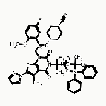 COc1ccc(F)cc1[C@H](Cn1c(=O)n(C(C)(C)C(=O)O[Si](c2ccccc2)(c2ccccc2)C(C)(C)C)c(=O)c2c(C)c(-n3nccn3)sc21)O[C@H]1CC[C@H](C#N)CC1